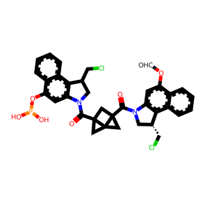 O=COc1cc2c(c3ccccc13)[C@H](CCl)CN2C(=O)C12CC3(C(=O)N4CC(CCl)c5c4cc(OP(O)O)c4ccccc54)CC31C2